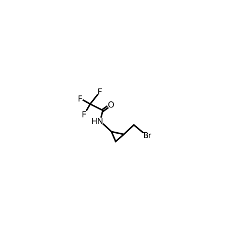 O=C(NC1CC1CBr)C(F)(F)F